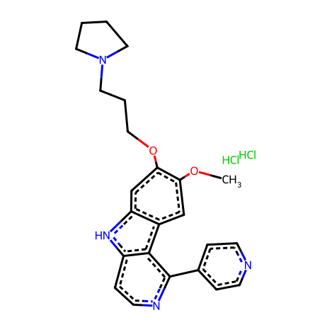 COc1cc2c(cc1OCCCN1CCCC1)[nH]c1ccnc(-c3ccncc3)c12.Cl.Cl